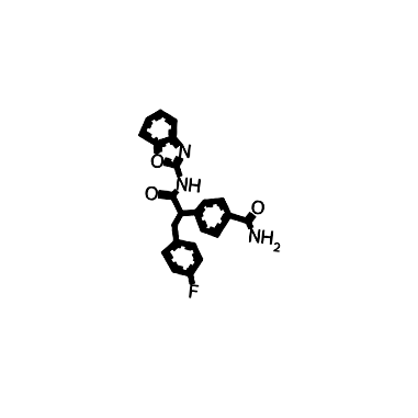 NC(=O)c1ccc(C(Cc2ccc(F)cc2)C(=O)Nc2nc3ccccc3o2)cc1